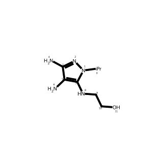 CC(C)n1nc(N)c(N)c1NCCO